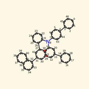 c1ccc(-c2ccc(N(c3cccc(-c4ccccc4)c3)c3ccccc3-c3cccc(-c4cccc5ccccc45)c3)cc2)cc1